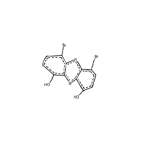 Oc1ccc(Br)c2nc3c(Br)ccc(O)c3nc12